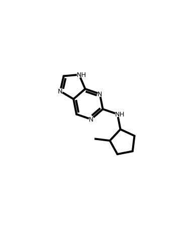 CC1CCCC1Nc1ncc2nc[nH]c2n1